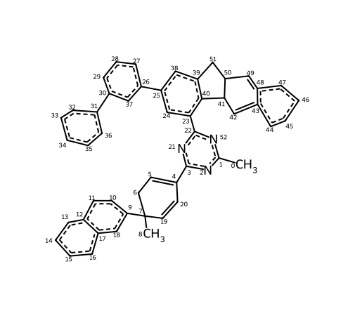 Cc1nc(C2=CCC(C)(c3ccc4ccccc4c3)C=C2)nc(-c2cc(-c3cccc(-c4ccccc4)c3)cc3c2C2C=c4ccccc4=CC2C3)n1